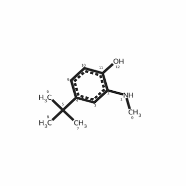 CNc1cc(C(C)(C)C)ccc1O